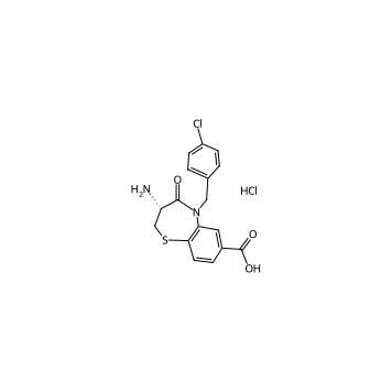 Cl.N[C@H]1CSc2ccc(C(=O)O)cc2N(Cc2ccc(Cl)cc2)C1=O